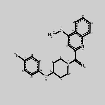 COc1cc(C(=O)N2CCC(Oc3ccc(F)cc3)CC2)nc2ccccc12